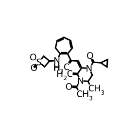 C=C(/C=C1\C(=C)N(C(C)=O)C(C)CN1C(=O)C1CC1)C1=C(NC2CS(=O)(=O)C2)CC=CC=C1